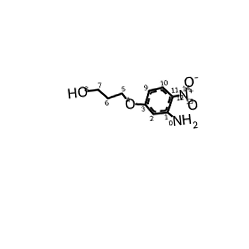 Nc1cc(OCCCO)ccc1[N+](=O)[O-]